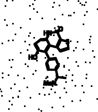 CNC(C)c1ccc(-c2c(O)ccc3[nH]c(=O)c4sccc4c23)cc1